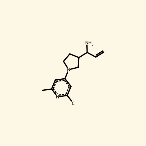 C=CC(N)C1CCN(c2cc(C)nc(Cl)c2)C1